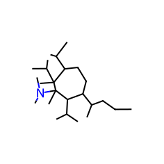 CCCC(C)C1CCC(C(C)C)C(C)(C(C)C)C(C)(N(C)C)C1C(C)C